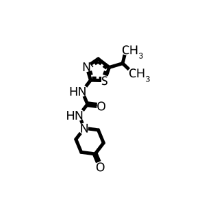 CC(C)c1cnc(NC(=O)NN2CCC(=O)CC2)s1